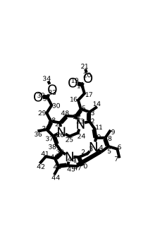 C=C1Cn2c3c(CC)c(C)/c2=C/c2c(C)c(CCC(=O)OC)c4n2CCn2c(c(CCC(=O)OC)c(C)/c2=C/c2c(CC)c(C)c(n21)C=3)=C4